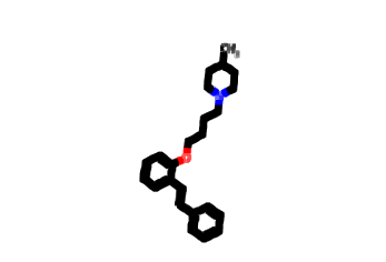 CC1CCN(CCCCOc2ccccc2/C=C/c2ccccc2)CC1